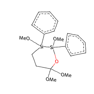 COC1(OC)CC[Si](OC)(c2ccccc2)[Si](OC)(c2ccccc2)O1